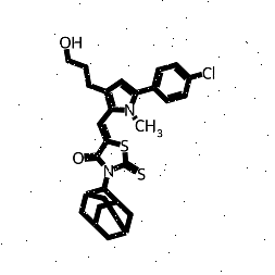 Cn1c(-c2ccc(Cl)cc2)cc(CCCO)c1/C=C1\SC(=S)N(C2C3CC4CC(C3)CC2C4)C1=O